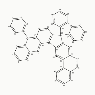 c1ccc(-c2c3ccccc3nc3c4c(ccc23)C(c2ccccc2)(c2ccccc2)c2cc3ccc5ccccc5c3nc2-4)cc1